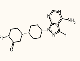 CCN1CCN([C@H]2CC[C@@H](n3nc(I)c4c(N)ncnc43)CC2)CC1=O